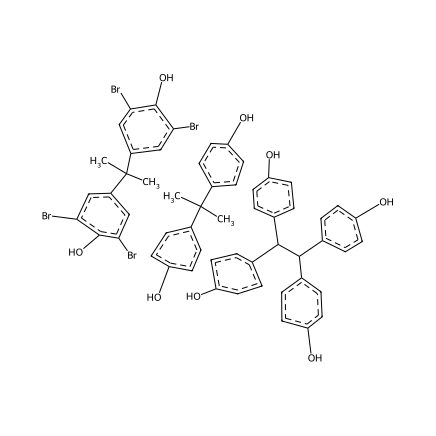 CC(C)(c1cc(Br)c(O)c(Br)c1)c1cc(Br)c(O)c(Br)c1.CC(C)(c1ccc(O)cc1)c1ccc(O)cc1.Oc1ccc(C(c2ccc(O)cc2)C(c2ccc(O)cc2)c2ccc(O)cc2)cc1